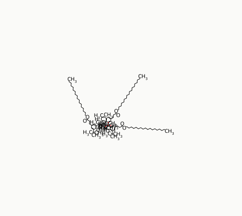 CCCCCCCCCCCCCCCCCCOC(=O)CCc1cc(C(C)(C)C)c(OP2OP(Oc3c(C(C)(C)C)cc(CCC(=O)OCCCCCCCCCCCCCCCCCC)cc3C(C)(C)C)OP(Oc3c(C(C)(C)C)cc(CCC(=O)OCCCCCCCCCCCCCCCCCC)cc3C(C)(C)C)O2)c(C(C)(C)C)c1